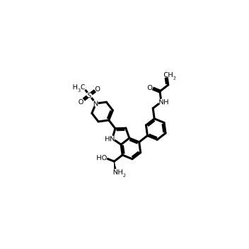 C=CC(=O)NCc1cccc(-c2ccc([C@@H](N)O)c3[nH]c(C4=CCN(S(C)(=O)=O)CC4)cc23)c1